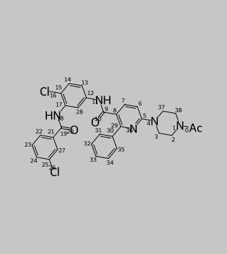 CC(=O)N1CCN(c2ccc(C(=O)Nc3ccc(Cl)c(NC(=O)c4cccc(Cl)c4)c3)c(-c3ccccc3)n2)CC1